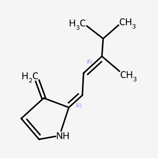 C=c1cc[nH]/c1=C/C=C(\C)C(C)C